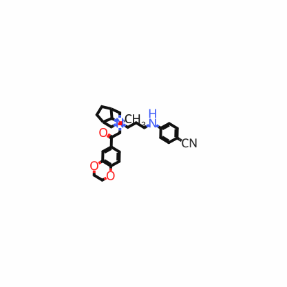 CN(CC(=O)c1ccc2c(c1)OCCO2)C1C2CCC1CN(CCCNc1ccc(C#N)cc1)C2